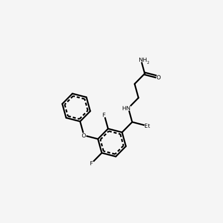 CCC(NCCC(N)=O)c1ccc(F)c(Oc2ccccc2)c1F